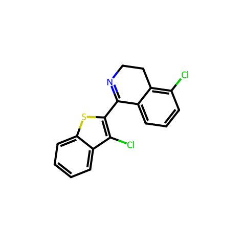 Clc1cccc2c1CCN=C2c1sc2ccccc2c1Cl